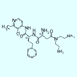 Cc1nccc(NC(=O)[C@H](CCc2ccccc2)NC(=O)[C@@H](N)CC(=O)N(CCN)CCN)c1Cl